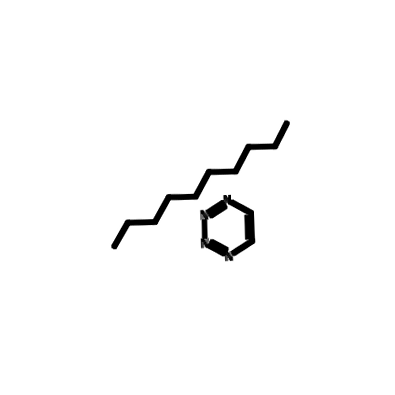 CCCCCCCCCC.c1cnnnn1